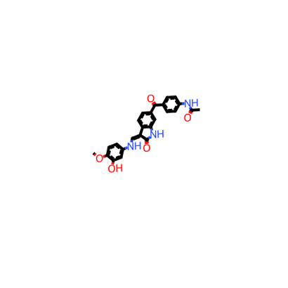 COc1ccc(NC=C2C(=O)Nc3cc(C(=O)c4ccc(NC(C)=O)cc4)ccc32)cc1O